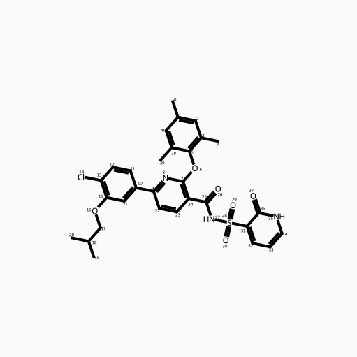 Cc1cc(C)c(Oc2nc(-c3ccc(Cl)c(OCC(C)C)c3)ccc2C(=O)NS(=O)(=O)c2ccc[nH]c2=O)c(C)c1